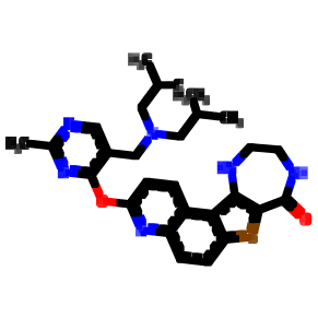 Cc1ncc(CN(CC(C)C)CC(C)C)c(Oc2ccc3c(ccc4sc5c(c43)NCCNC5=O)n2)n1